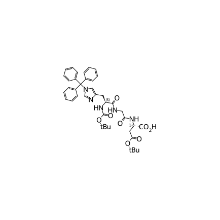 CC(C)(C)OC(=O)C[C@H](NC(=O)CNC(=O)[C@H](Cc1cn(C(c2ccccc2)(c2ccccc2)c2ccccc2)cn1)NC(=O)OC(C)(C)C)C(=O)O